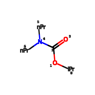 [CH2]C(C)OC(=O)N(CCC)CCC